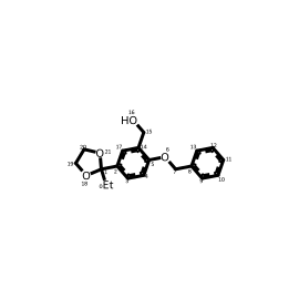 CCC1(c2ccc(OCc3ccccc3)c(CO)c2)OCCO1